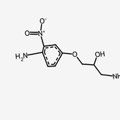 NCC(O)COc1ccc(N)c([N+](=O)[O-])c1